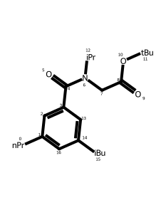 CCCc1cc(C(=O)N(CC(=O)OC(C)(C)C)C(C)C)cc(C(C)CC)c1